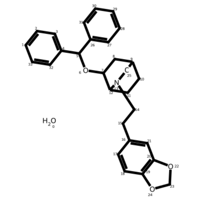 O.c1ccc(C(OC2CC3CCC2N(CCc2ccc4c(c2)OCO4)C3)c2ccccc2)cc1